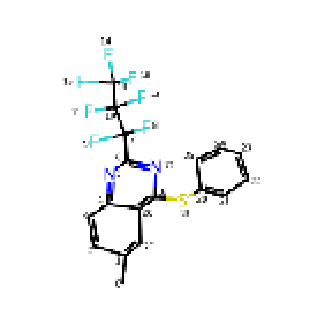 Cc1ccc2nc(C(F)(F)C(F)(F)C(F)(F)F)nc(Sc3ccccc3)c2c1